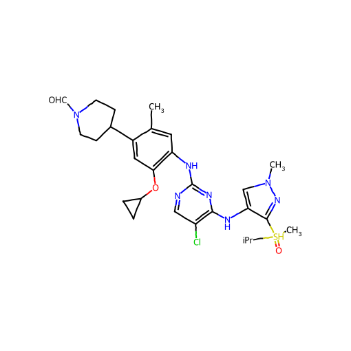 Cc1cc(Nc2ncc(Cl)c(Nc3cn(C)nc3[SH](C)(=O)C(C)C)n2)c(OC2CC2)cc1C1CCN(C=O)CC1